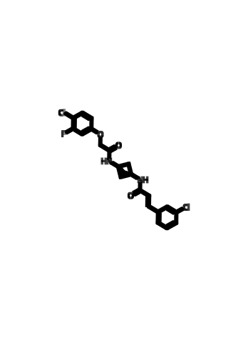 O=C(/C=C/c1cccc(Cl)c1)NC12CC(NC(=O)COc3ccc(Cl)c(F)c3)(C1)C2